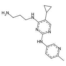 Cc1ccc(Nc2ncc(C3CC3)c(NCCCN)n2)cn1